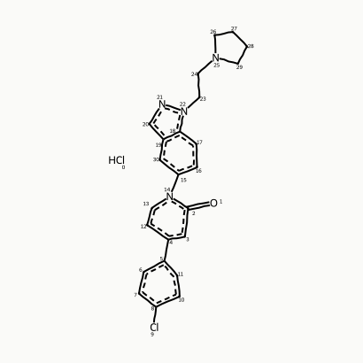 Cl.O=c1cc(-c2ccc(Cl)cc2)ccn1-c1ccc2c(cnn2CCN2CCCC2)c1